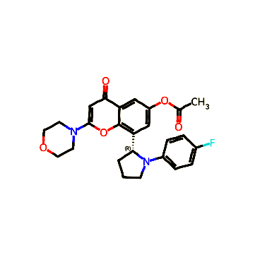 CC(=O)Oc1cc([C@H]2CCCN2c2ccc(F)cc2)c2oc(N3CCOCC3)cc(=O)c2c1